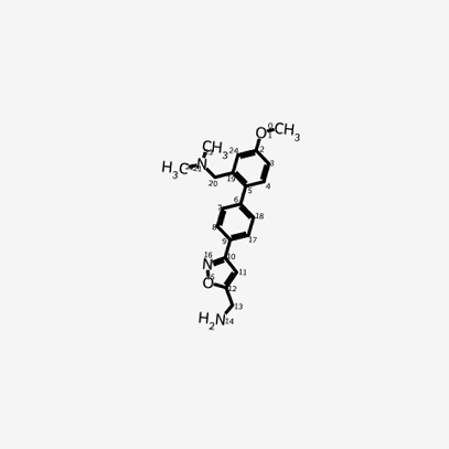 COc1ccc(-c2ccc(-c3cc(CN)on3)cc2)c(CN(C)C)c1